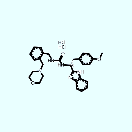 COc1ccc(C[C@@H](NC(=O)NCc2ccccc2CN2CCOCC2)c2nc3ccccc3[nH]2)cc1.Cl.Cl